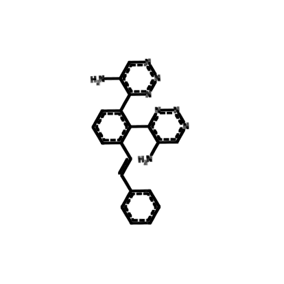 Nc1cnnnc1-c1cccc(C=Cc2ccccc2)c1-c1nnncc1N